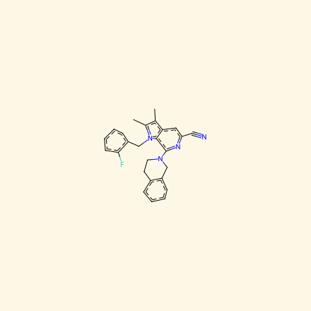 Cc1c(C)n(Cc2ccccc2F)c2c(N3CCc4ccccc4C3)nc(C#N)cc12